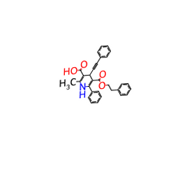 CC1=C(C(=O)O)C(C#Cc2ccccc2)C(C(=O)OCCc2ccccc2)=C(c2ccccc2)N1